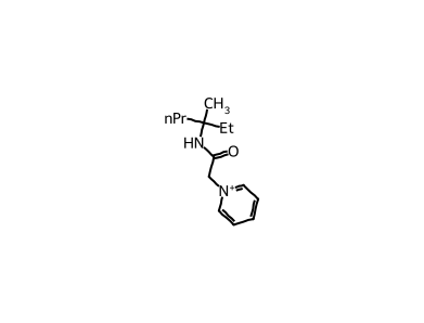 CCCC(C)(CC)NC(=O)C[n+]1ccccc1